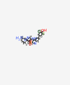 CS(=O)(=O)c1cnc2ccc(-c3cc(F)c(O)c(Cl)c3)cc2c1Nc1ccc(N2CCCC(N)C2)nc1